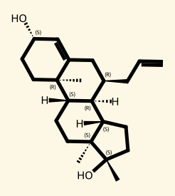 C=CC[C@@H]1CC2=C[C@@H](O)CC[C@]2(C)[C@H]2CC[C@@]3(C)[C@@H](CC[C@]3(C)O)[C@H]12